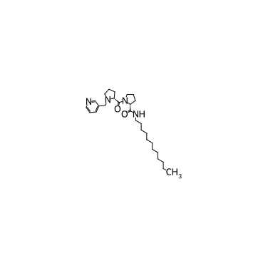 CCCCCCCCCCCCNC(=O)[C@@H]1CCCN1C(=O)[C@@H]1CCCN1Cc1cccnc1